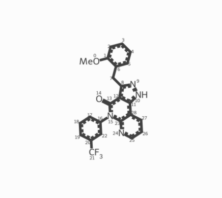 COc1ccccc1Cc1n[nH]c2c1c(=O)n(-c1cccc(C(F)(F)F)c1)c1ncccc21